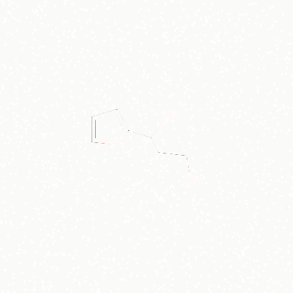 OCCC(O)c1ccco1